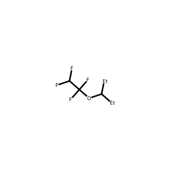 CCC(CC)OC(F)(F)C(F)F